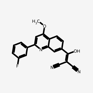 COc1cc(-c2cccc(F)c2)nc2cc(C(O)=C(C#N)C#N)ccc12